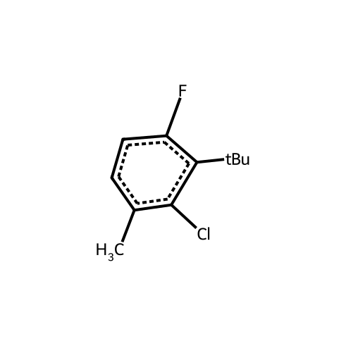 Cc1ccc(F)c(C(C)(C)C)c1Cl